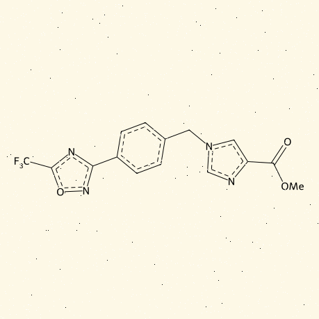 COC(=O)c1cn(Cc2ccc(-c3noc(C(F)(F)F)n3)cc2)cn1